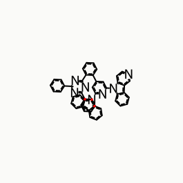 c1ccc(-c2nc(-c3ccccc3)nc(-c3ccccc3-c3cc(-n4c5ccccc5c5ccccc54)nc(-n4c5ccccc5c5cnccc54)c3)n2)cc1